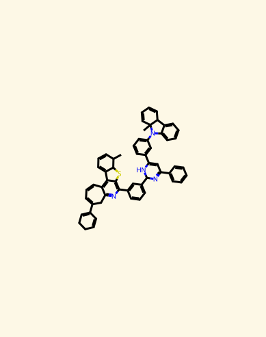 CC1C=CC=C2c3c4c(nc(-c5cccc(C6N=C(c7ccccc7)C=C(c7cccc(N8c9ccccc9C9C=CC=CC98C)c7)N6)c5)c3SC21)CC(C1=CCCC=C1)=CC=C4